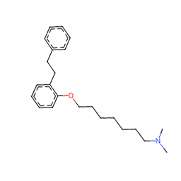 CN(C)CCCCCCCOc1ccccc1CCc1ccccc1